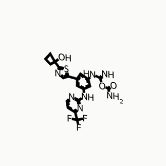 N=C(Nc1cc(Nc2nccc(C(F)(F)F)n2)cc(-c2cnc(C3(O)CCC3)s2)c1)OC(N)=O